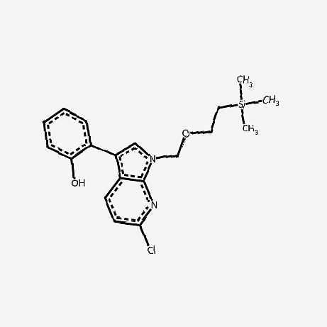 C[Si](C)(C)CCOCn1cc(-c2ccccc2O)c2ccc(Cl)nc21